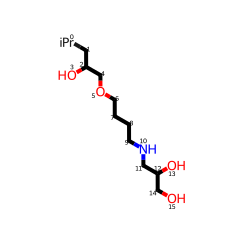 CC(C)CC(O)COCCCCNCC(O)CO